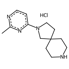 Cc1nccc(N2CCC3(CCNCC3)C2)n1.Cl